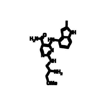 COCC(N)CNc1ncc(C(N)=O)c(Nc2cccc3[nH]c(C)cc23)n1